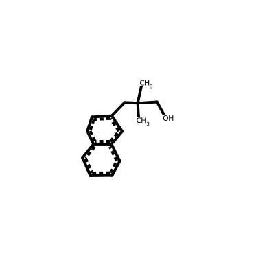 CC(C)(CO)Cc1ccc2ccccc2c1